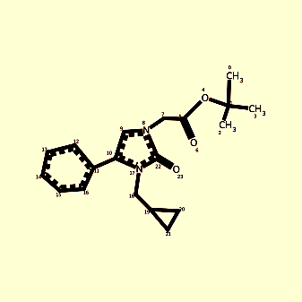 CC(C)(C)OC(=O)Cn1cc(-c2ccccc2)n(CC2CC2)c1=O